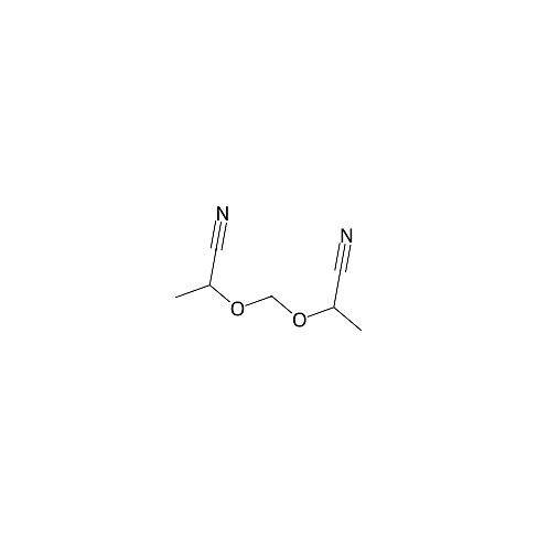 CC(C#N)OCOC(C)C#N